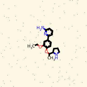 CCOc1cc(-c2cccc(N)n2)ccc1OC(C)C1CCCN1